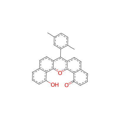 Cc1ccc(C)c(-c2c3ccc4cccc(O)c4c3oc3c2ccc2cccc(=O)c23)c1